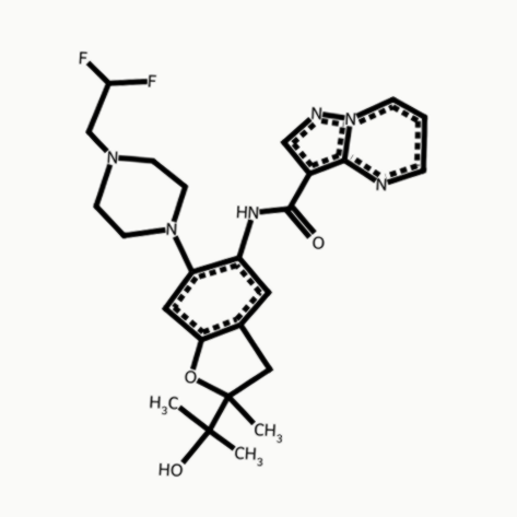 CC(C)(O)C1(C)Cc2cc(NC(=O)c3cnn4cccnc34)c(N3CCN(CC(F)F)CC3)cc2O1